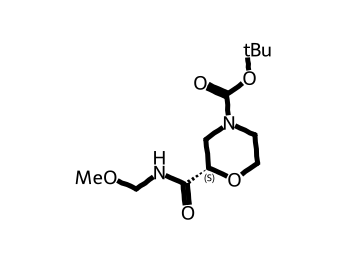 COCNC(=O)[C@@H]1CN(C(=O)OC(C)(C)C)CCO1